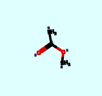 BC(=O)O[SiH3]